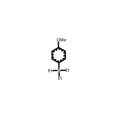 CC[Si](CC)(CC)c1ccc(OC)cc1